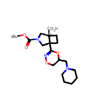 CC(C)(C)OC(=O)N1CC2(C3=NOCC(CN4CCCCC4)O3)CC[C@@]2(C(=O)O)C1